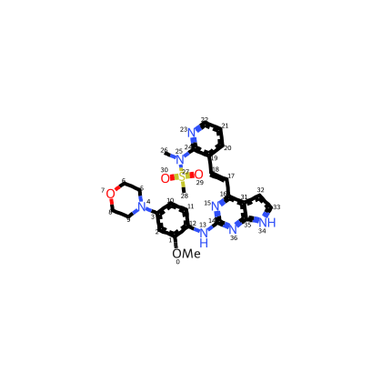 COc1cc(N2CCOCC2)ccc1Nc1nc(C=Cc2cccnc2N(C)S(C)(=O)=O)c2cc[nH]c2n1